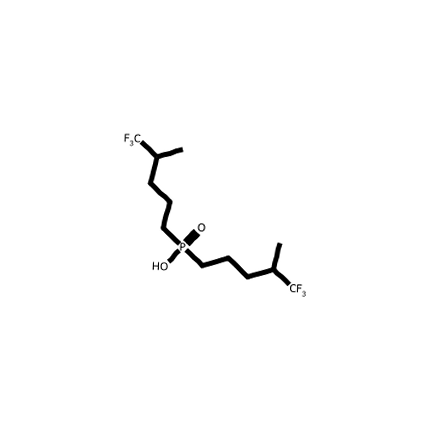 CC(CCCP(=O)(O)CCCC(C)C(F)(F)F)C(F)(F)F